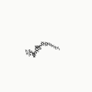 CCCCOCCOc1ccc(-c2cccc(/C=C/C(=O)Nc3ccc(SCc4cncn4CC(C)C)cc3)c2)cc1